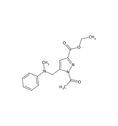 CCOC(=O)c1cc(CN(C)c2ccccc2)n(C(C)=O)n1